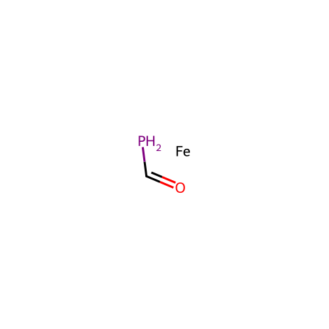 O=CP.[Fe]